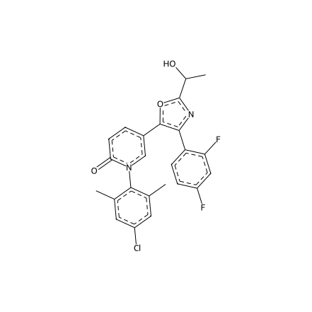 Cc1cc(Cl)cc(C)c1-n1cc(-c2oc(C(C)O)nc2-c2ccc(F)cc2F)ccc1=O